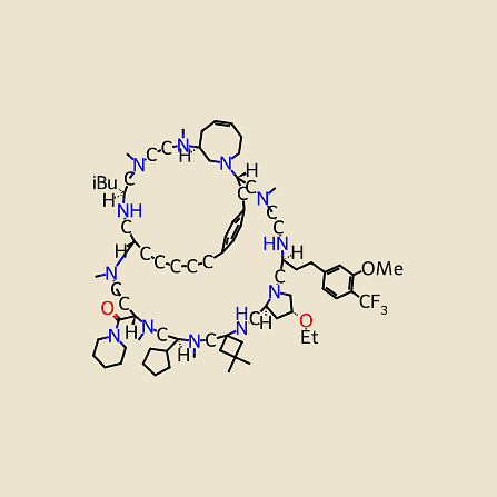 CCO[C@@H]1C[C@H]2CNC3(CN(C)[C@@H](C4CCCC4)CN(C)[C@H](C(=O)N4CCCCC4)CCN(C)[C@H]4CCCCCc5ccc(cc5)C[C@@H](CN(C)CCN[C@@H](CCc5ccc(C(F)(F)F)c(OC)c5)CN2C1)N1CC/C=C\C[C@@H](C1)N(C)CCN(C)C[C@H]([C@@H](C)CC)NC4)CC(C)(C)C3